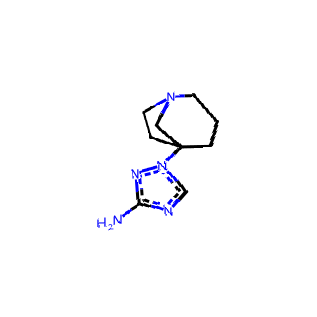 Nc1ncn(C23CCCN(CC2)C3)n1